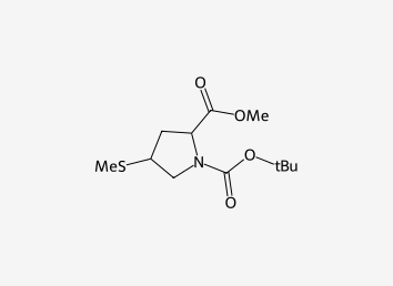 COC(=O)C1CC(SC)CN1C(=O)OC(C)(C)C